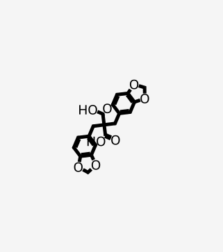 O=C(O)C(Cc1ccc2c(c1)OCO2)(Cc1ccc2c(c1)OCO2)C(=O)O